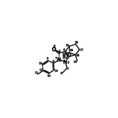 CCn1c2c(c(=O)n1-c1ccc(C)cc1)C1CCC2(C)C1(C)C